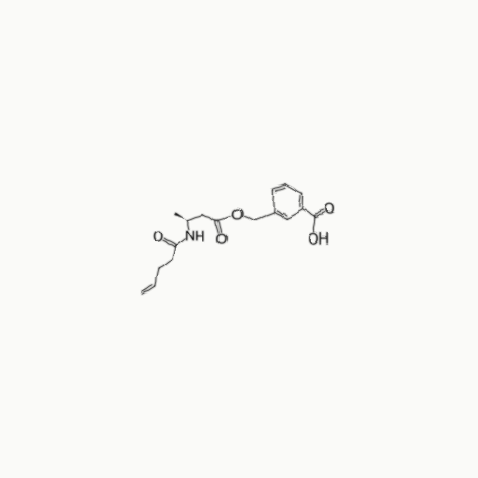 C=CCCC(=O)N[C@@H](C)CC(=O)OCc1cccc(C(=O)O)c1